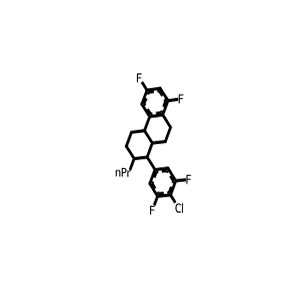 CCCC1CCC2c3cc(F)cc(F)c3CCC2C1c1cc(F)c(Cl)c(F)c1